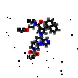 COCCN(C)C(=O)c1cn(C(CC2CCN(S(C)(=O)=O)CC2)c2cnc[nH]2)cc1-c1cccc2ccccc12